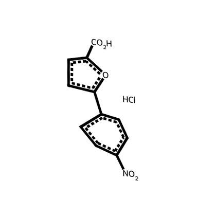 Cl.O=C(O)c1ccc(-c2ccc([N+](=O)[O-])cc2)o1